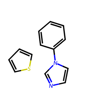 c1ccc(-n2ccnc2)cc1.c1ccsc1